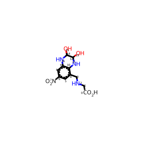 O=C(O)CNCc1cc([N+](=O)[O-])cc2c1NC(O)C(O)N2